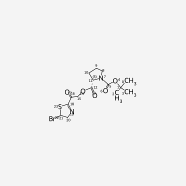 CC(C)(C)OC(=O)N1CCC[C@H]1C(=O)OCC(=O)C1=NCC(Br)S1